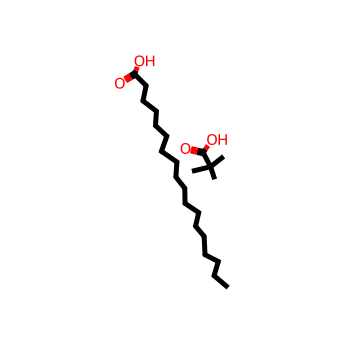 CC(C)(C)C(=O)O.CCCCCCCCCCCCCCCCCC(=O)O